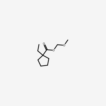 CCC1(C(=O)OCOC)CCCC1